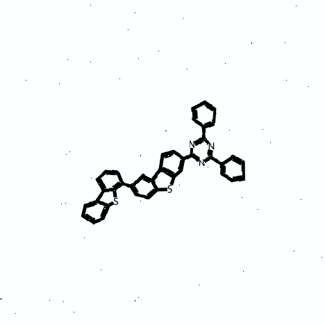 c1ccc(-c2nc(-c3ccccc3)nc(-c3ccc4c(c3)sc3ccc(-c5cccc6c5sc5ccccc56)cc34)n2)cc1